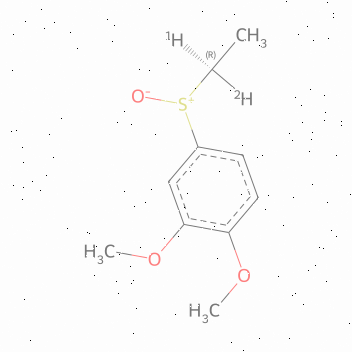 [1H][C@@]([2H])(C)[S+]([O-])c1ccc(OC)c(OC)c1